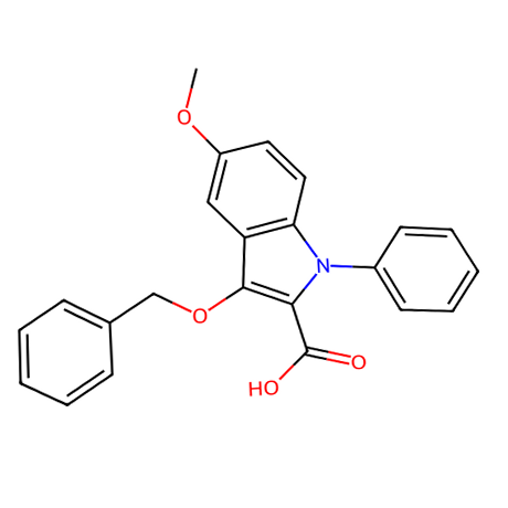 COc1ccc2c(c1)c(OCc1ccccc1)c(C(=O)O)n2-c1ccccc1